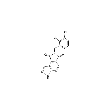 O=C1c2cnc3[nH]ncc3c2C(=O)N1Cc1cccc(Cl)c1Cl